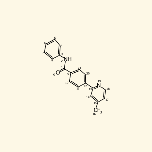 O=C(Nc1ccccc1)c1ccc(-c2cc(C(F)(F)F)ccn2)cc1